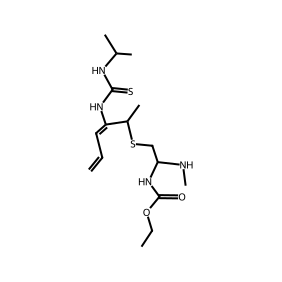 C=C/C=C(/NC(=S)NC(C)C)C(C)SCC(NC)NC(=O)OCC